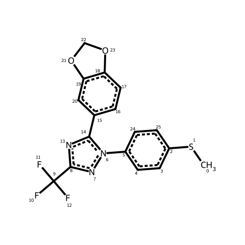 CSc1ccc(-n2nc(C(F)(F)F)nc2-c2ccc3c(c2)OCO3)cc1